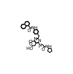 CN(CC(=O)NC1CCCC1)c1nc(Cc2ccc(NC(=O)c3cccc4ccccc34)cc2)nc(Cl)c1CC(=O)O